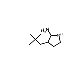 CC(C)(C)CC1CCNC1N